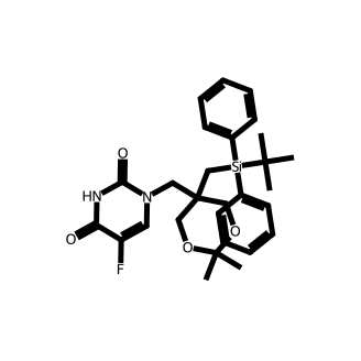 CC1(C)OCC(Cn2cc(F)c(=O)[nH]c2=O)(C[Si](c2ccccc2)(c2ccccc2)C(C)(C)C)CO1